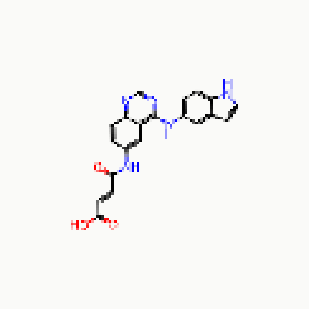 O=C(O)/C=C/C(=O)Nc1ccc2ncnc(Nc3ccc4[nH]ccc4c3)c2c1